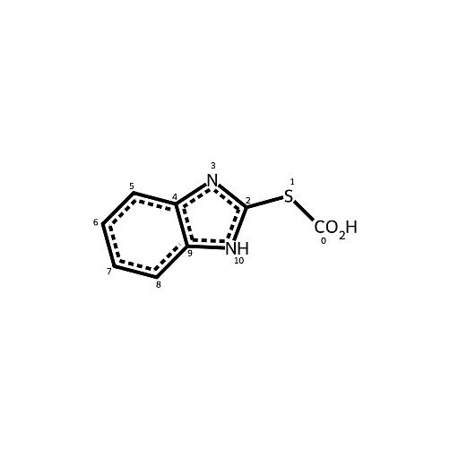 O=C(O)Sc1nc2ccccc2[nH]1